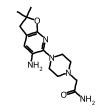 CC1(C)Cc2cc(N)c(N3CCN(CC(N)=O)CC3)nc2O1